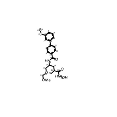 CCOc1cccc(-c2ccc(C(=O)NC(COCOC)CC(C)C(=O)NO)cc2)c1